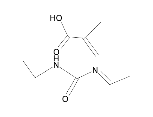 C=C(C)C(=O)O.CC=NC(=O)NCC